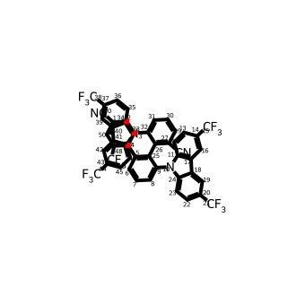 N#Cc1ccc(-c2cccc(-n3c4ccc(C(F)(F)F)cc4c4cc(C(F)(F)F)ccc43)c2-c2c(C#N)cccc2-n2c3ccc(C(F)(F)F)cc3c3cc(C(F)(F)F)ccc32)c(C(F)(F)F)c1